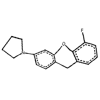 Fc1cccc2c1Oc1cc(N3CCCC3)ccc1C2